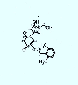 Cc1cccc(C)c1COCC1=CN([C@H]2C[C@@H](O)[C@@H](CO)O2)C(=O)CC1=O